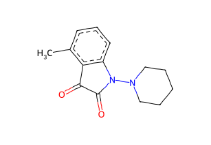 Cc1cccc2c1C(=O)C(=O)N2N1CCCCC1